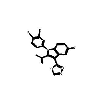 Cc1cc(-n2c(C(C)C)c(-c3nnco3)c3cc(F)ccc32)ccc1F